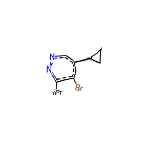 CC(C)c1nncc(C2CC2)c1Br